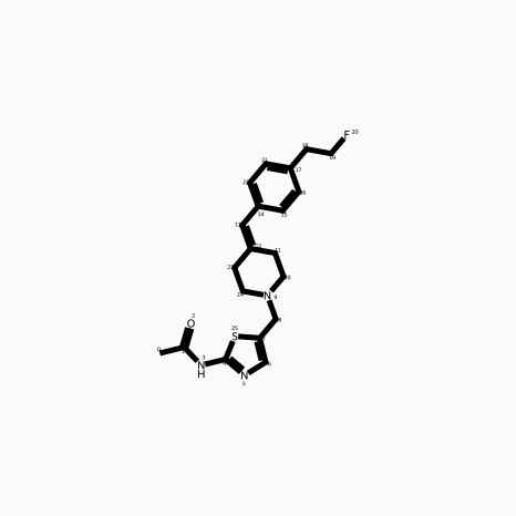 CC(=O)Nc1ncc(CN2CCC(=Cc3ccc(CCF)cc3)CC2)s1